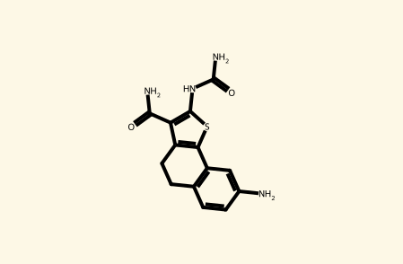 NC(=O)Nc1sc2c(c1C(N)=O)CCc1ccc(N)cc1-2